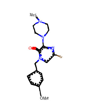 COc1ccc(Cn2cc(Br)nc(N3CCN(SC)CC3)c2=O)cc1